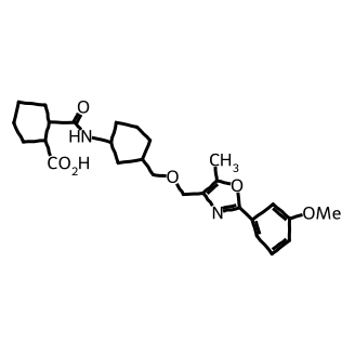 COc1cccc(-c2nc(COCC3CCCC(NC(=O)C4CCCCC4C(=O)O)C3)c(C)o2)c1